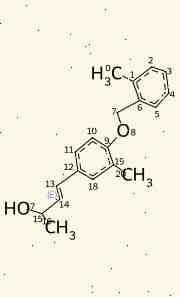 Cc1ccccc1COc1ccc(/C=C/C(C)O)cc1C